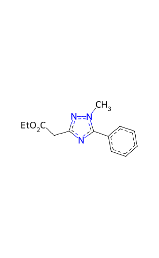 CCOC(=O)Cc1nc(-c2ccccc2)n(C)n1